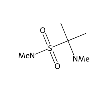 CNC(C)(C)S(=O)(=O)NC